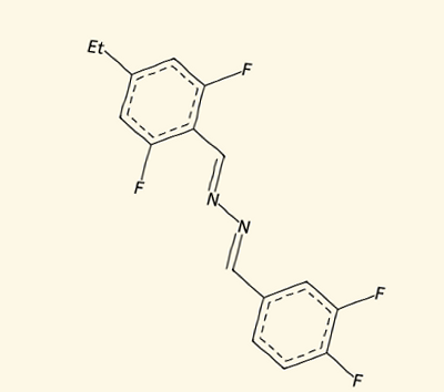 CCc1cc(F)c(/C=N/N=C/c2ccc(F)c(F)c2)c(F)c1